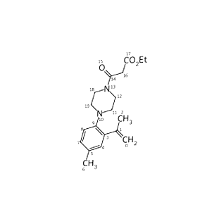 C=C(C)c1cc(C)ccc1N1CCN(C(=O)CC(=O)OCC)CC1